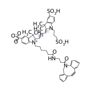 CC1(C)C(/C=C/C=C2/N(CCCS(=O)(=O)O)c3ccc(S(=O)(=O)O)cc3C2(C)C)=[N+](CCCCCC(=O)NCCC(=O)N2Cc3ccccc3C#Cc3ccccc32)c2ccc(S(=O)(=O)[O-])cc21